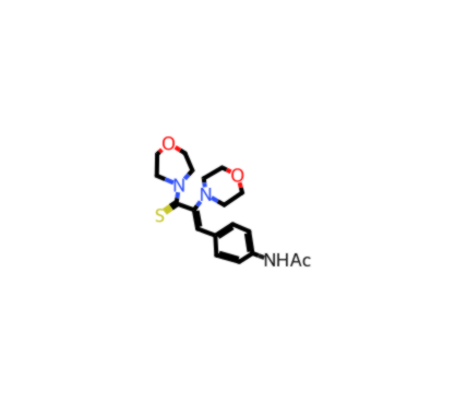 CC(=O)Nc1ccc(C=C(C(=S)N2CCOCC2)N2CCOCC2)cc1